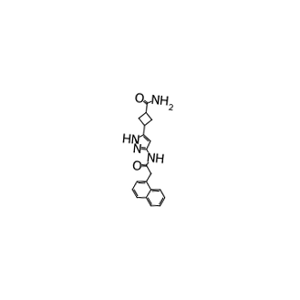 NC(=O)C1CC(c2cc(NC(=O)Cc3cccc4ccccc34)n[nH]2)C1